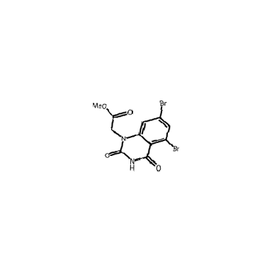 COC(=O)Cn1c(=O)[nH]c(=O)c2c(Br)cc(Br)cc21